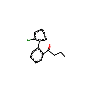 CCCC(=O)c1ccccc1-c1ccccc1F